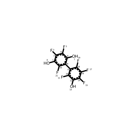 Oc1c(F)c(F)c(O)c(-c2c(F)c(O)c(F)c(F)c2F)c1F